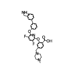 CN1CCN(Cc2ccc(C(=O)O)c(Oc3nc(Oc4cccc(-c5cccc(CN)c5)c4)c(F)cc3F)c2)CC1